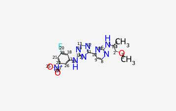 COC[C@H](C)Nc1nccc(-c2ncnc(Nc3cc(F)cc([N+](=O)[O-])c3)n2)n1